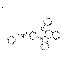 CC12C=CC=CC1c1c(oc3ccccc13)-c1c2c2ccccc2n1-c1ccc(/C=N/Cc2ccccc2)cc1